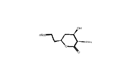 CCCCCCCCCCC[C@H]1C[C@@H](O)[C@@H](CCCCCC)C(=O)O1